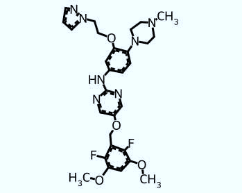 COc1cc(OC)c(F)c(COc2cnc(Nc3ccc(N4CCN(C)CC4)c(OCCn4cccn4)c3)nc2)c1F